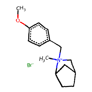 COc1ccc(C[N+]2(C)CC3CCC2C3)cc1.[Br-]